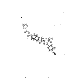 N#Cc1ccc(OP(=O)(O)CNS(=O)(=O)c2cc3sc(CSCCCN)cc3s2)cc1F